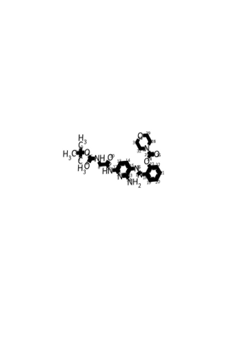 CC(C)(C)OC(=O)NCC(=O)Nc1ccc(/N=N/c2ccccc2OC(=O)N2CCOCC2)c(N)n1